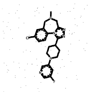 CN1Cc2cc(Cl)ccc2-n2c(nnc2C2CCN(c3cncc(F)c3)CC2)C1